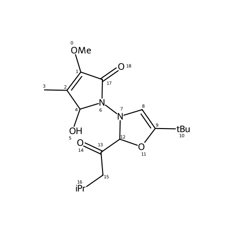 COC1=C(C)C(O)N(N2C=C(C(C)(C)C)OC2C(=O)CC(C)C)C1=O